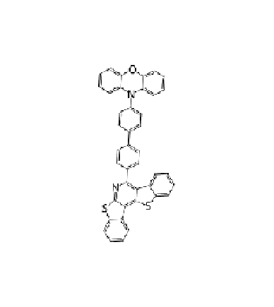 c1ccc2c(c1)Oc1ccccc1N2c1ccc(-c2ccc(-c3nc4sc5ccccc5c4c4sc5ccccc5c34)cc2)cc1